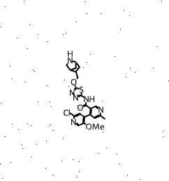 COc1cnc(Cl)cc1-c1cc(C)ncc1C(=O)Nc1nnc(OCC2CC3CC2CN3)s1